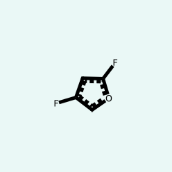 Fc1[c]oc(F)c1